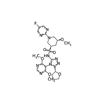 COc1ncnc(OC)c1-n1c(NS(=O)(=O)[C@@H]2C[C@H](OC)CN(c3ncc(F)cn3)C2)nnc1[C@@H]1CCCO1